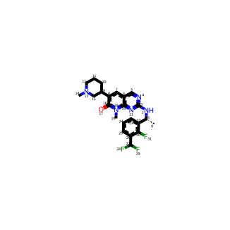 C[C@@H](Nc1ncc2cc(C3CCCN(C)C3)c(=O)n(C)c2n1)c1cccc(C(F)F)c1F